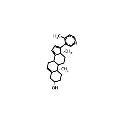 Cc1ccncc1C1=CC=C2C3CC=C4C[C@@H](O)CC[C@]4(C)C3CC[C@]12C